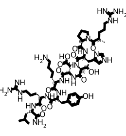 CC(C)C[C@H](NC(=O)[C@H](CCCNC(=N)N)NC(=O)[C@H](Cc1ccc(O)cc1)NC(=O)[C@H](CCCCN)NC(=O)[C@H](CC(=O)O)NC(=O)[C@@H](NC(=O)[C@H](Cc1c[nH]cn1)NC(=O)[C@H]1CCCN1C(=O)[C@@H](C)CCCNC(=N)N)[C@@H](C)O)C(N)=O